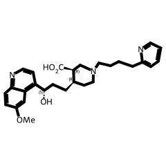 COc1ccc2nccc([C@@H](O)CC[C@@H]3CCN(CCCCc4ccccn4)C[C@@H]3C(=O)O)c2c1